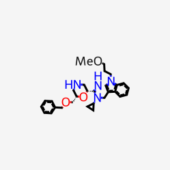 COCCCn1cc(CN(C(=N)[C@H]2CNC[C@@H](COCc3ccccc3)O2)C2CC2)c2ccccc21